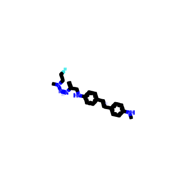 C=C(CNc1ccc(/C=C/c2ccc(NC)cc2)cc1)/N=N\N(C)CCF